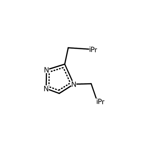 CC(C)Cc1nncn1CC(C)C